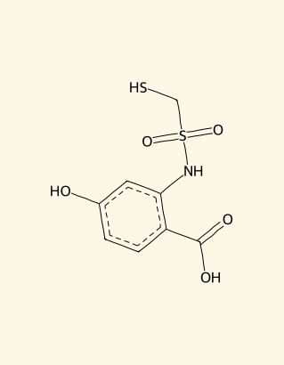 O=C(O)c1ccc(O)cc1NS(=O)(=O)CS